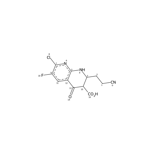 N#CCCC1Nc2nc(Cl)c(F)cc2C(=O)C1C(=O)O